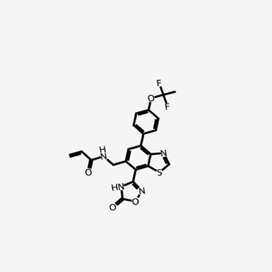 C=CC(=O)NCc1cc(-c2ccc(OC(C)(F)F)cc2)c2ncsc2c1-c1noc(=O)[nH]1